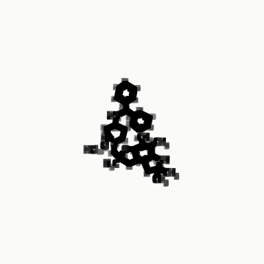 Cc1c(C)c2c(c3c1NC(C)(C)C3)CC(C)(CN1CCC(NC(c3ccccc3)c3ccccc3)CC1)O2.Cl.Cl